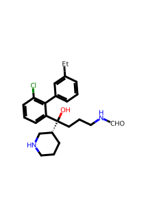 CCc1cccc(-c2c(Cl)cccc2C(O)(CCCNC=O)[C@@H]2CCCNC2)c1